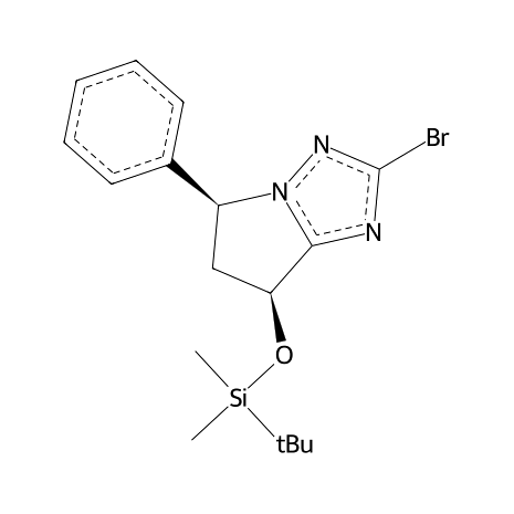 CC(C)(C)[Si](C)(C)O[C@H]1C[C@@H](c2ccccc2)n2nc(Br)nc21